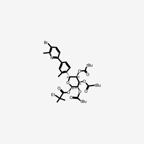 CCC(C)(C)C(=O)O[C@H]1O[C@H](c2ccc(-c3ccc(Br)c(C)n3)cc2C)[C@@H](OC(=O)C(C)(C)C)[C@@H](OC(=O)C(C)(C)C)[C@H]1OC(=O)C(C)(C)C